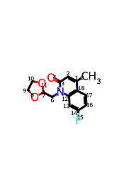 Cc1cc(=O)n(CC2OCCO2)c2cc(F)ccc12